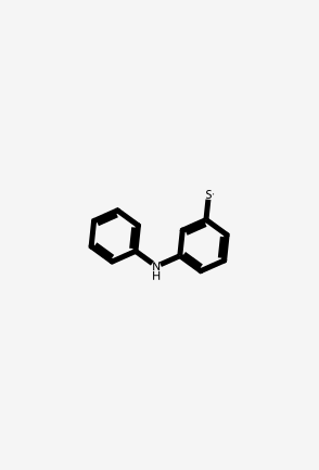 [S]c1cccc(Nc2ccccc2)c1